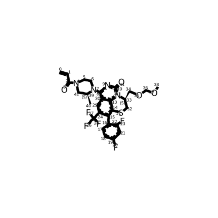 C=CC(=O)N1CCN(c2nc(=O)n3c4c(c(-c5ccc(F)cc5F)c(C(F)(F)F)cc24)SC[C@@H]3COCOC)[C@@H](C)C1